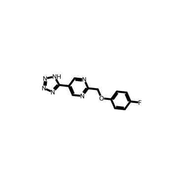 Fc1ccc(OCc2ncc(-c3nnn[nH]3)cn2)cc1